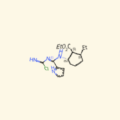 CCOC(=O)[C@H]1[C@@H](CC)C=CC[C@@H]1N/C(=N/C(=N)Cl)c1ccc[nH]1